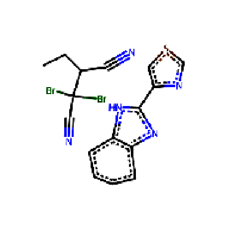 CCC(C#N)C(Br)(Br)C#N.c1ccc2[nH]c(-c3cscn3)nc2c1